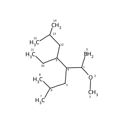 BC(OC)C(CC(C)C)C(CC)CC(C)C